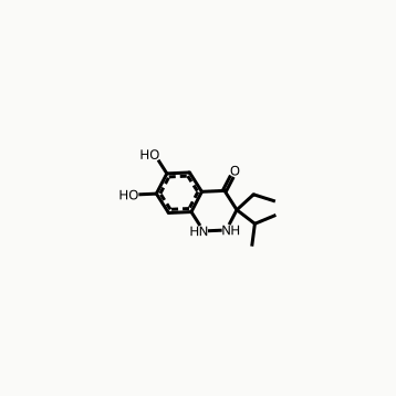 CCC1(C(C)C)NNc2cc(O)c(O)cc2C1=O